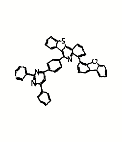 c1ccc(-c2cc(-c3ccc(-c4nc5c(-c6cccc7c6oc6ccccc67)cccc5c5sc6ccccc6c45)cc3)nc(-c3ccccc3)n2)cc1